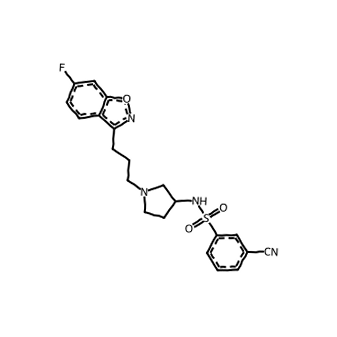 N#Cc1cccc(S(=O)(=O)NC2CCN(CCCc3noc4cc(F)ccc34)C2)c1